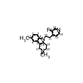 Cc1ccc2c(c1)c1c(n2CCc2ccncc2F)CCN(C)C1